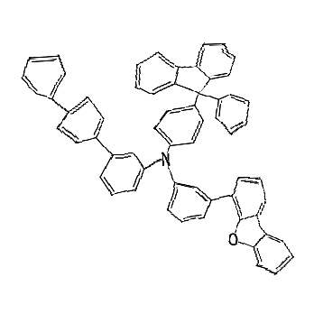 c1ccc(-c2ccc(-c3cccc(N(c4ccc(C5(c6ccccc6)c6ccccc6-c6ccccc65)cc4)c4cccc(-c5cccc6c5oc5ccccc56)c4)c3)cc2)cc1